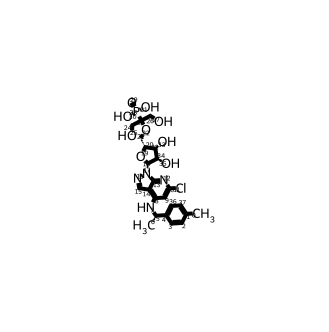 Cc1ccc([C@H](C)Nc2cc(Cl)nc3c2cnn3[C@@H]2O[C@H](COC(CO)(CO)P(=O)(O)O)[C@@H](O)[C@H]2O)cc1